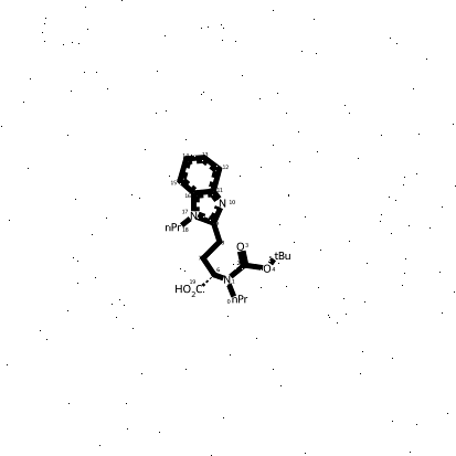 CCCN(C(=O)OC(C)(C)C)[C@@H](CCc1nc2ccccc2n1CCC)C(=O)O